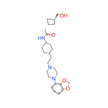 O=C(C[C@H]1C[C@H](CO)C1)NC1CCC(CCN2CCN(c3cccc4c3OCO4)CC2)CC1